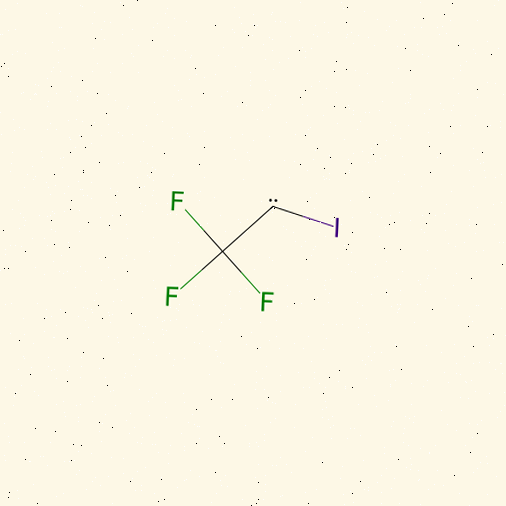 FC(F)(F)[C]I